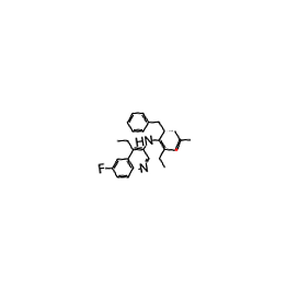 C=C(C)C[C@@H](Cc1ccccc1)/C(NC(/C=N\C)=C(\CC)c1cccc(F)c1)=C(\C)CC